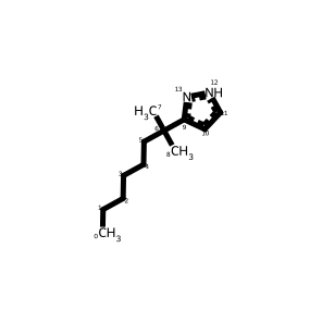 CCCCCCC(C)(C)c1cc[nH]n1